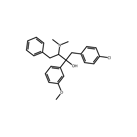 COc1cccc(C(O)(Cc2ccc(Cl)cc2)C(Cc2ccccc2)N(C)C)c1